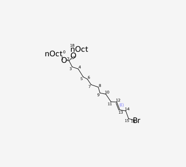 CCCCCCCCOC(CCCCCCCCC/C=C/CCBr)OCCCCCCCC